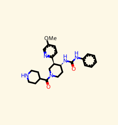 COc1ccc([C@@H]2CN(C(=O)C3CCNCC3)CC[C@H]2NC(=O)Nc2ccccc2)nc1